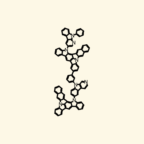 c1ccc(-n2c3ccccc3c3cc(-n4c5ccccc5c5cc6c7cc(-c8cccc(-n9c%10ccc(-n%11c%12ccccc%12c%12cc%13c%14ccccc%14n%14c%15cc%16ccccc%16cc%15c(c%12%11)c%13%14)cc%10c%10ccncc%109)c8)ccc7n7c8cc9ccccc9cc8c(c54)c67)cnc32)cc1